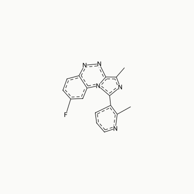 Cc1ncccc1-c1nc(C)c2nnc3ccc(F)cc3n12